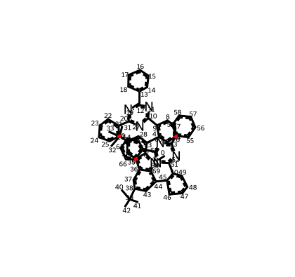 Cn1c2c(-c3ccccc3-c3nc(-c4ccccc4)nc(-c4ccccc4)n3)cc(C(C)(C)C)cc2c2cc(C(C)(C)C)cc(-c3ccccc3-c3nc(-c4ccccc4)nc(-c4ccccc4)n3)c21